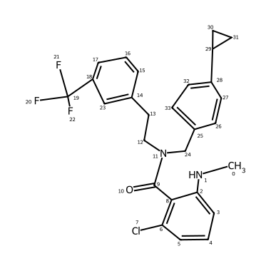 CNc1cccc(Cl)c1C(=O)N(CCc1cccc(C(F)(F)F)c1)Cc1ccc(C2CC2)cc1